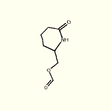 O=COCC1CCCC(=O)N1